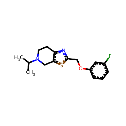 CC(C)N1CCc2nc(COc3cccc(F)c3)sc2C1